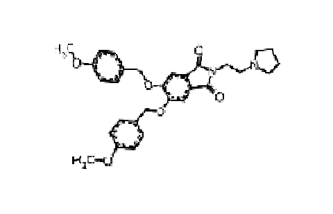 COc1ccc(COc2cc3c(cc2OCc2ccc(OC)cc2)C(=O)N(CCN2CCCC2)C3=O)cc1